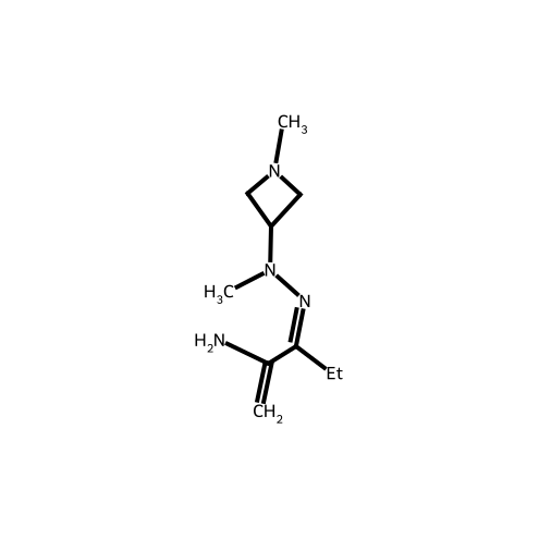 C=C(N)/C(CC)=N\N(C)C1CN(C)C1